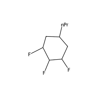 CCCC1CC(F)C(F)C(F)C1